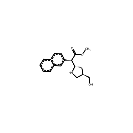 COC(=O)[C@H](c1ccc2ccccc2c1)[C@@H]1C[C@@H](CO)CN1